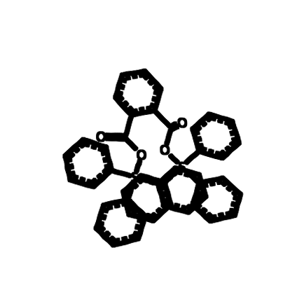 O=C(OS(c1ccccc1)(c1ccccc1)c1ccccc1)c1ccccc1C(=O)OS(c1ccccc1)(c1ccccc1)c1ccccc1